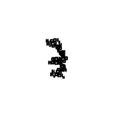 CC(C)(C)OC(=O)NC[C@H](O)CNC[C@H]1NC(=O)[C@H]1NC(=O)C(=NOC(C)(C)C(=O)O)c1csc(NC(=O)OC(C)(C)C)n1